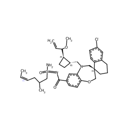 C=CC(OC)[C@@H]1CC[C@H]1CN1C[C@@]2(CCCc3cc(Cl)ccc32)COc2ccc(C(=O)N=S(N)(=O)CC(C)C/C=C\C)cc21